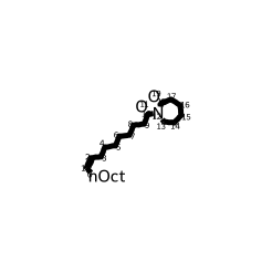 CCCCCCCC/C=C\CCCCCCCC(=O)N1CCCCCC1=O